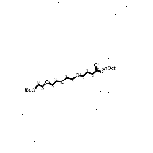 CCCCCCCCOC(=O)CCCOCCOCCOCCOCC(C)C